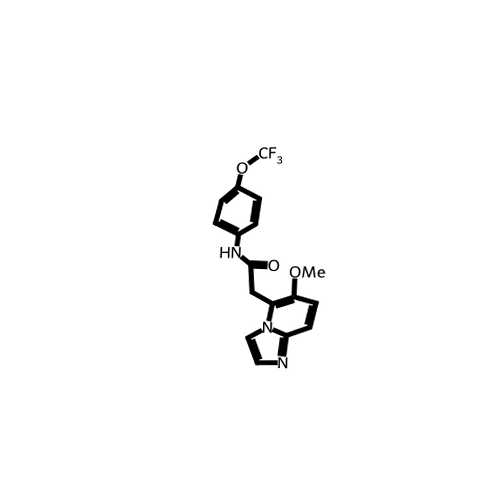 COc1ccc2nccn2c1CC(=O)Nc1ccc(OC(F)(F)F)cc1